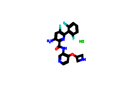 Cl.Nc1cc(F)c(-c2c(F)cccc2F)nc1C(=O)Nc1cnccc1OC1CNC1